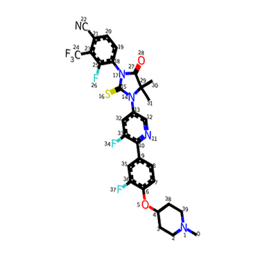 CN1CCC(Oc2ccc(-c3ncc(N4C(=S)N(c5ccc(C#N)c(C(F)(F)F)c5F)C(=O)C4(C)C)cc3F)cc2F)CC1